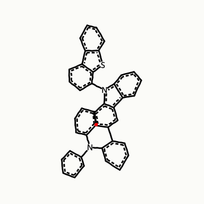 c1ccc(N(c2ccccc2)c2ccccc2-c2ccc3c(c2)c2ccccc2n3-c2cccc3c2sc2ccccc23)cc1